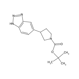 CC(C)(C)OC(=O)N1CCC(c2ccc3[nH]nnc3c2)C1